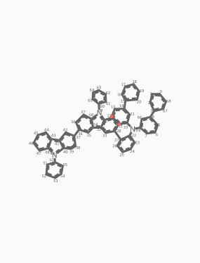 c1ccc(-c2cccc(N(c3cccc(-c4ccccc4)c3)c3ccccc3-c3ccc4c(c3)c3cc(-c5ccc6c(c5)c5ccccc5n6-c5ccccc5)ccc3n4-c3ccccc3)c2)cc1